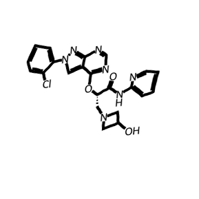 O=C(Nc1ccccn1)[C@H](CN1CC(O)C1)Oc1ncnc2nn(-c3ccccc3Cl)cc12